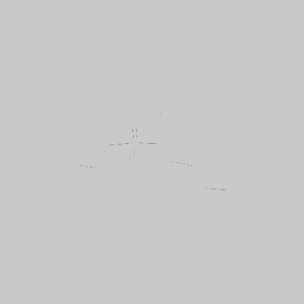 CCCCCCCCCCCCS(=O)(=O)CCC(=O)O.Cl